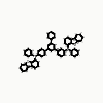 c1ccc(-c2cc(-c3ccc(N(c4ccccc4)c4cccc5c4oc4ccccc45)cc3)cc(-c3cccc(N(c4ccccc4)c4cccc5c4oc4ccccc45)c3)c2)cc1